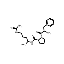 N=C(N)NCCCC(C=O)NC(=O)C1CCCN1C(=O)C(N)Cc1ccccc1